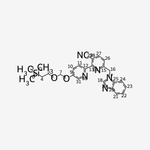 C[Si](C)(C)CCOCOc1ccc(-c2nc(Cn3cnc4ccccc43)ccc2C#N)nc1